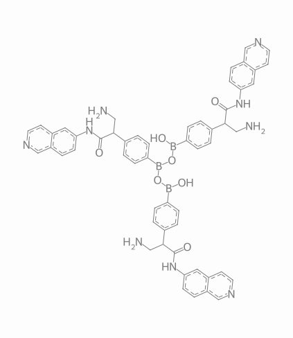 NCC(C(=O)Nc1ccc2cnccc2c1)c1ccc(B(O)OB(OB(O)c2ccc(C(CN)C(=O)Nc3ccc4cnccc4c3)cc2)c2ccc(C(CN)C(=O)Nc3ccc4cnccc4c3)cc2)cc1